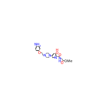 COC(=O)CNC(=O)c1ncc(N2CCN(CCOc3ccc(N)cc3)CC2)cc1O